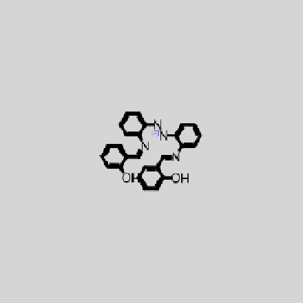 Oc1ccccc1C=Nc1ccccc1/N=N/c1ccccc1N=Cc1ccccc1O